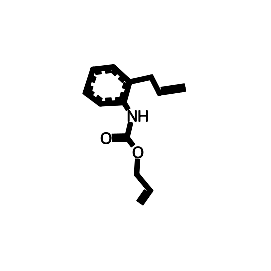 C=CCOC(=O)Nc1ccccc1CC=C